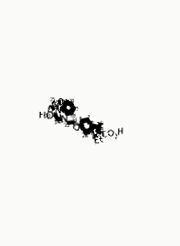 CCn1c(C(=O)O)c(C)c2ccc(OCCN(CCO)c3ccccc3NS(C)(=O)=O)cc21